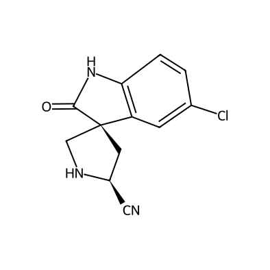 N#C[C@@H]1C[C@@]2(CN1)C(=O)Nc1ccc(Cl)cc12